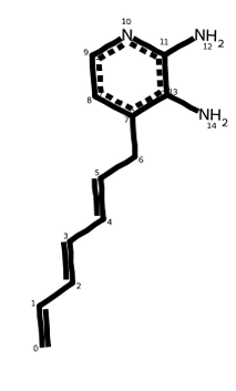 C=CC=CC=CCc1ccnc(N)c1N